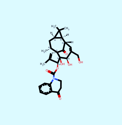 CC1=C[C@]23C(=O)[C@@H](C=C(CO)[C@@H](O)[C@]2(O)[C@H]1OC(=O)N1CCC(=O)c2ccccc21)[C@H]1[C@@H](C[C@H]3C)C1(C)C